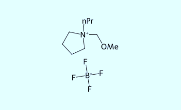 CCC[N+]1(COC)CCCC1.F[B-](F)(F)F